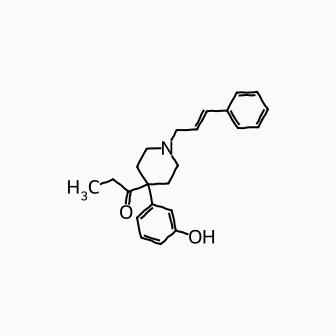 CCC(=O)C1(c2cccc(O)c2)CCN(C/C=C/c2ccccc2)CC1